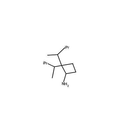 CC(C)C(C)C1(C(C)C(C)C)CCC1N